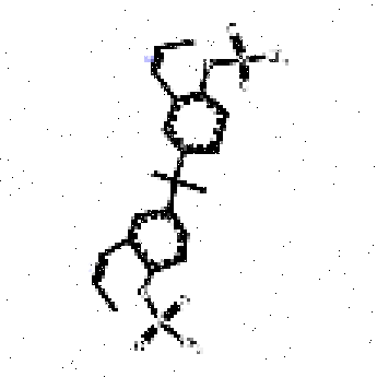 C/C=C\c1cc(C(C)(C)c2ccc(OS(=O)(=O)C(F)(F)F)c(/C=C\C)c2)ccc1OS(=O)(=O)C(F)(F)F